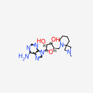 CN1CC2(CCCCN2C[C@H]2O[C@@H](n3cnc4c(N)ncnc43)[C@H](O)[C@@H]2O)C1